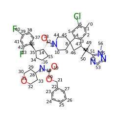 Cc1cc2c(cc1Cl)C1(CCN(C(=O)[C@@H]3C[C@H](N(C(=O)OCc4ccccc4)C4CCOCC4)C[C@H]3c3ccc(F)cc3F)CC1)C[C@@H]2C(C)(C)c1ncnn1C